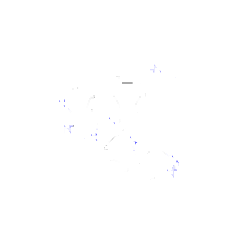 NCc1ccc(-n2c(-c3cccnc3N)nc3ccc(C4C=NNC4)nc32)cc1